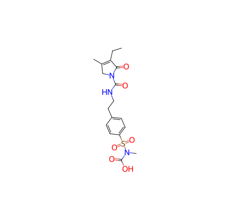 CCC1=C(C)CN(C(=O)NCCc2ccc(S(=O)(=O)N(C)C(=O)O)cc2)C1=O